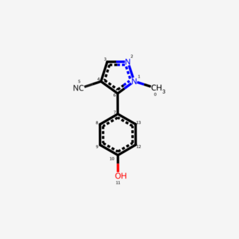 Cn1ncc(C#N)c1-c1ccc(O)cc1